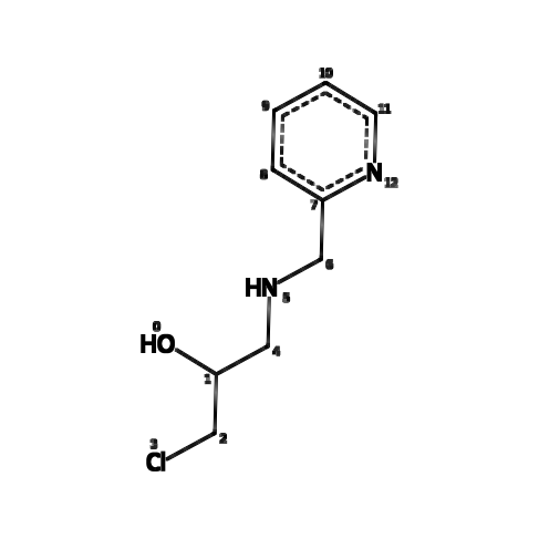 OC(CCl)CNCc1ccccn1